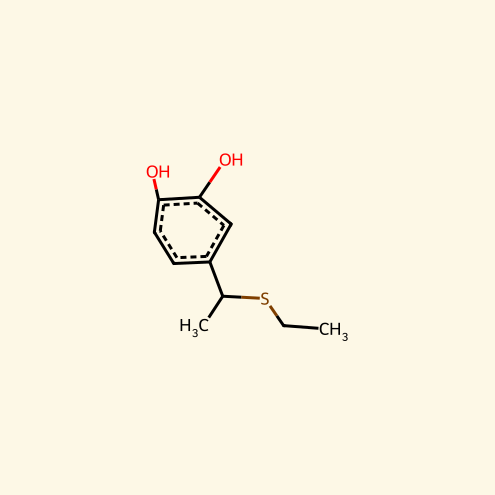 CCSC(C)c1ccc(O)c(O)c1